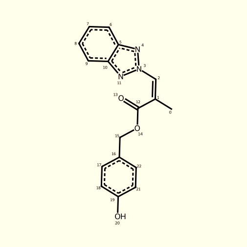 CC(=Cn1nc2ccccc2n1)C(=O)OCc1ccc(O)cc1